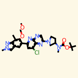 COCOc1c(-c2cc(Cl)c3nc(N4CCC(N(C)C(=O)OC(C)(C)C)C4)cnc3n2)cc2cn(C)nc2c1C